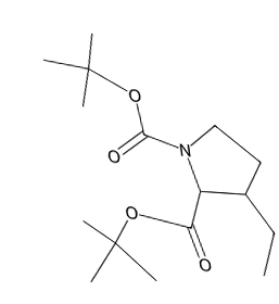 CCC1CCN(C(=O)OC(C)(C)C)C1C(=O)OC(C)(C)C